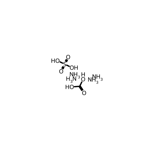 N.N.N.N.O=C(O)O.O=S(=O)(O)O